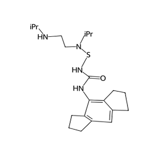 CC(C)NCCN(SNC(=O)Nc1c2c(cc3c1CCC3)CCC2)C(C)C